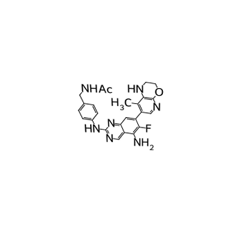 CC(=O)NCc1ccc(Nc2ncc3c(N)c(F)c(-c4cnc5c(c4C)NCCO5)cc3n2)cc1